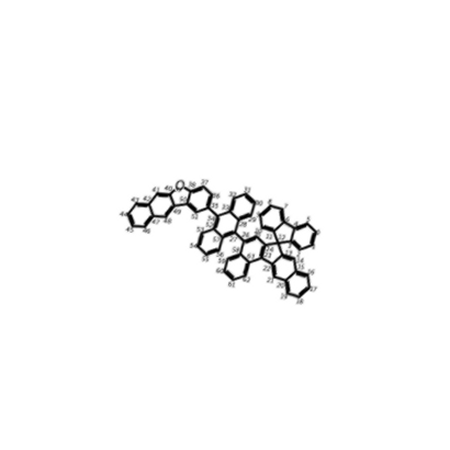 c1ccc2c(c1)-c1ccccc1C21c2cc3ccccc3cc2-c2c1cc(-c1c3ccccc3c(-c3ccc4oc5cc6ccccc6cc5c4c3)c3ccccc13)c1ccccc21